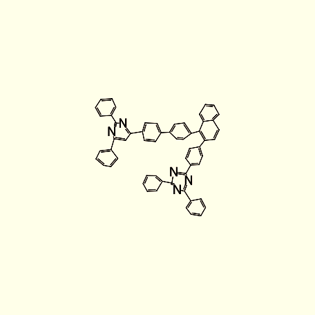 c1ccc(-c2cc(-c3ccc(-c4ccc(-c5c(-c6ccc(-c7nc(-c8ccccc8)nc(-c8ccccc8)n7)cc6)ccc6ccccc56)cc4)cc3)nc(-c3ccccc3)n2)cc1